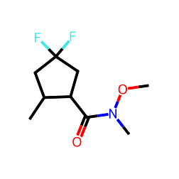 CON(C)C(=O)C1CC(F)(F)CC1C